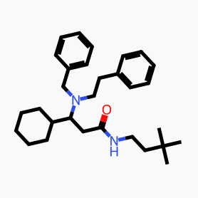 CC(C)(C)CCNC(=O)CC(C1CCCCC1)N(CCc1ccccc1)Cc1ccccc1